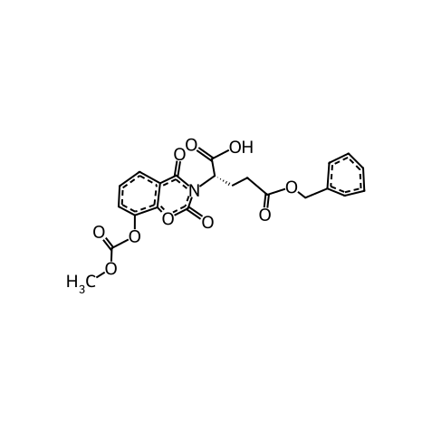 COC(=O)Oc1cccc2c(=O)n([C@@H](CCC(=O)OCc3ccccc3)C(=O)O)c(=O)oc12